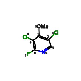 COc1c(Cl)cnc(F)c1Cl